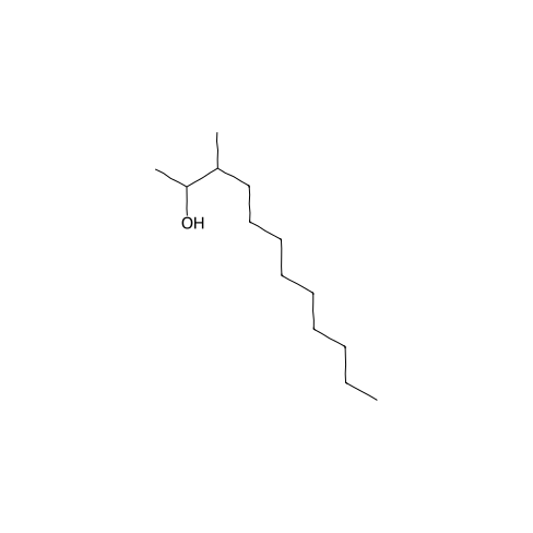 CCCCCCCCCC(C)C(C)O